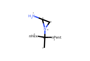 CCCCCCC(C)(CCCCC)N1CC1N